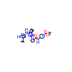 CC(C)(C)OC(=O)N1CCC(NC(=O)C2CCCN2c2nc(Nc3cc(C4CC4)[nH]n3)n3cccc3n2)CC1